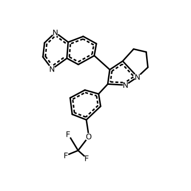 FC(F)(F)Oc1cccc(-c2nn3c(c2-c2ccc4nccnc4c2)CCC3)c1